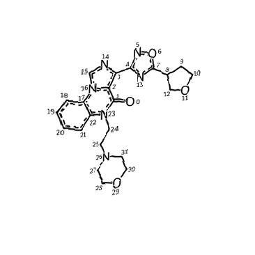 O=c1c2c(-c3noc(C4CCOC4)n3)ncn2c2ccccc2n1CCN1CCOCC1